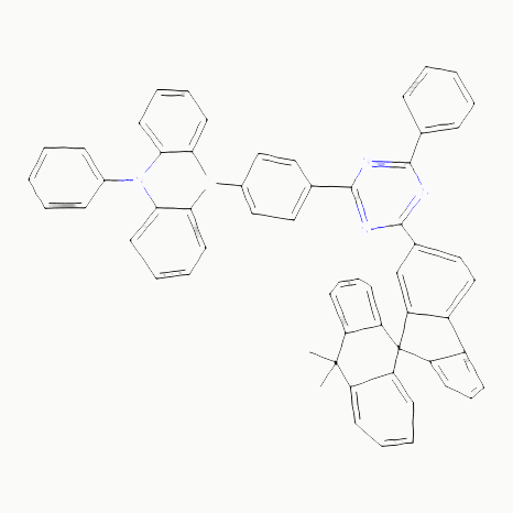 CC1(C)c2ccccc2C2(c3ccccc3-c3ccc(-c4nc(-c5ccccc5)nc(-c5ccc(B6c7ccccc7N(c7ccccc7)c7ccccc76)cc5)n4)cc32)c2ccccc21